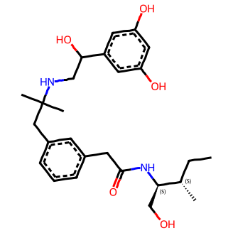 CC[C@H](C)[C@@H](CO)NC(=O)Cc1cccc(CC(C)(C)NCC(O)c2cc(O)cc(O)c2)c1